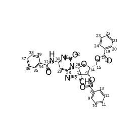 C[C@@]1(C#N)[C@H](OC(=O)c2ccccc2)[C@@H](COC(=O)c2ccccc2)O[C@H]1n1ccc(NC(=O)c2ccccc2)nc1=O